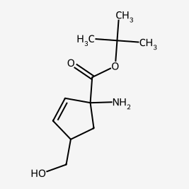 CC(C)(C)OC(=O)C1(N)C=CC(CO)C1